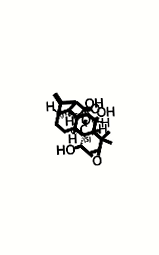 C=C1C2C(=O)[C@]34[C@H]2[C@H]1CC[C@H]3[C@@]12CO[C@]4(O)[C@@H](O)[C@@H]1C(C)(C)C1OC1C2O